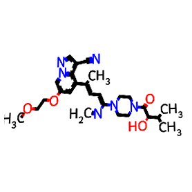 C=N/C(=C\C=C(/C)c1cc(OCCOC)cn2ncc(C#N)c12)N1CCN(C(=O)[C@H](O)C(C)C)CC1